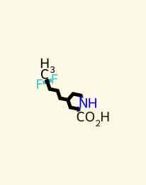 CC(F)(F)CCCC1CCNC(C(=O)O)C1